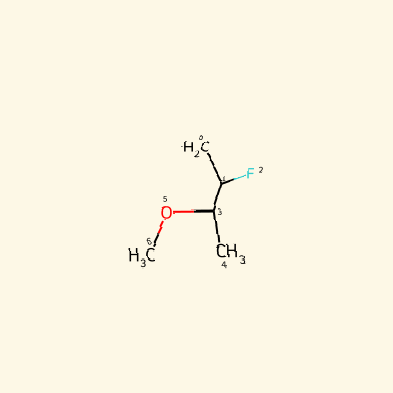 [CH2]C(F)C(C)OC